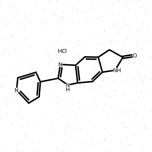 Cl.O=C1Cc2cc3nc(-c4ccncc4)[nH]c3cc2N1